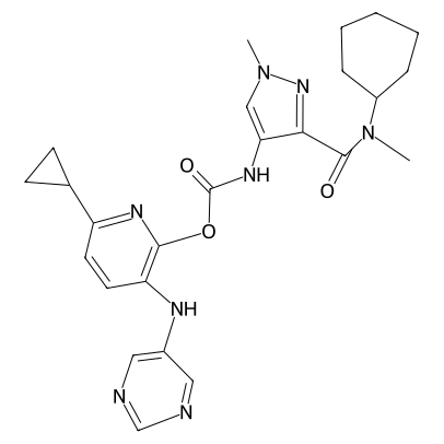 CN(C(=O)c1nn(C)cc1NC(=O)Oc1nc(C2CC2)ccc1Nc1cncnc1)C1CCCCC1